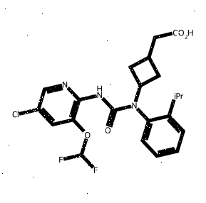 CC(C)c1ccccc1N(C(=O)Nc1ncc(Cl)cc1OC(F)F)C1CC(CC(=O)O)C1